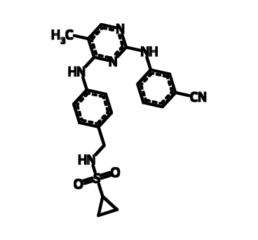 Cc1cnc(Nc2cccc(C#N)c2)nc1Nc1ccc(CNS(=O)(=O)C2CC2)cc1